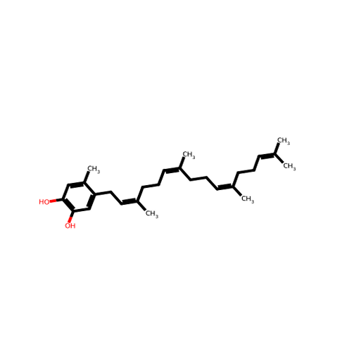 CC(C)=CCCC(C)=CCCC(C)=CCCC(C)=CCc1cc(O)c(O)cc1C